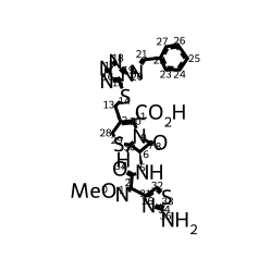 CO/N=C(\C(=O)N[C@@H]1C(=O)N2C(C(=O)O)=C(CSc3nnnn3N=Cc3ccccc3)CS[C@@H]12)c1csc(N)n1